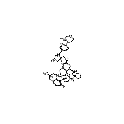 C#Cc1c(F)ccc2c1N([C@H]1COc3c(nc(OC[C@]4(C)C[C@@H](F)CN4c4ccc(N5CCOC[C@H]5C)nc4)nc3NCC3(N(C)C(=O)C=C)CCCC3)C1)C[C@H](O)C2